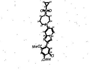 COc1cc(OC)c(-c2cn3ccc(N4CCCN(S(=O)(=O)C5CC5)CC4)cc3n2)cc1Cl